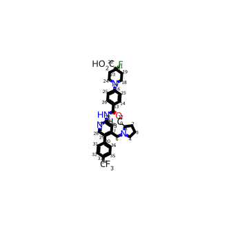 C[C@@H]1CCCN1Cc1cc(NC(=O)c2ccc(N3CCC(F)(C(=O)O)CC3)cc2)ncc1-c1ccc(C(F)(F)F)cc1